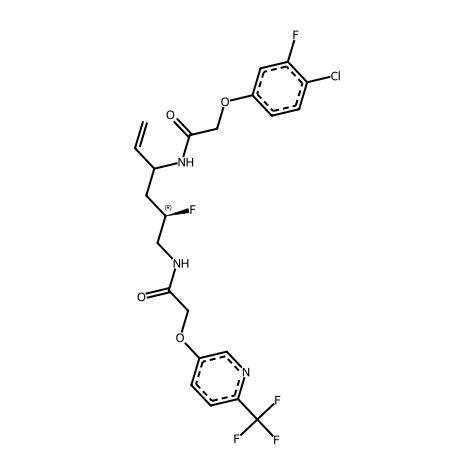 C=CC(C[C@@H](F)CNC(=O)COc1ccc(C(F)(F)F)nc1)NC(=O)COc1ccc(Cl)c(F)c1